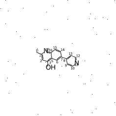 Cc1cc(O)c2cc(-c3ccncc3)ccc2n1